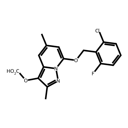 Cc1cc(OCc2c(F)cccc2Cl)n2nc(C)c(OC(=O)O)c2c1